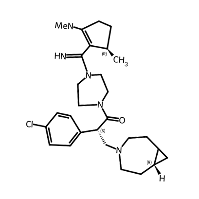 CNC1=C(C(=N)N2CCN(C(=O)[C@H](CN3CCC4C[C@@H]4CC3)c3ccc(Cl)cc3)CC2)[C@H](C)CC1